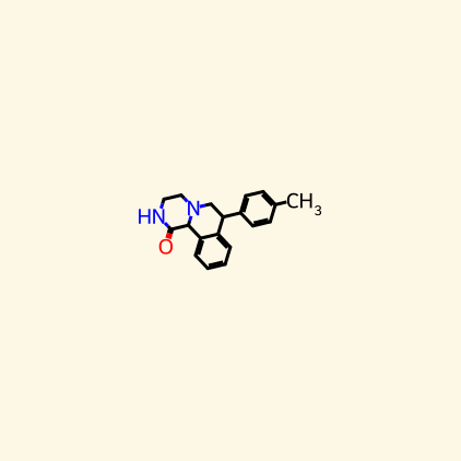 Cc1ccc(C2CN3CCNC(=O)C3c3ccccc32)cc1